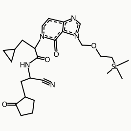 C[Si](C)(C)CCOCn1cnc2ccn(C(CC3CC3)C(=O)NC(C#N)CC3CCCC3=O)c(=O)c21